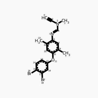 C#CN(C)C=Nc1cc(C)c(Oc2ccc(Br)c(Br)c2)cc1C